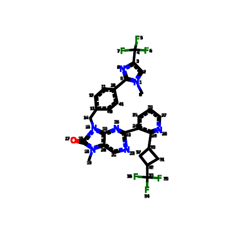 Cn1cc(C(F)(F)F)nc1-c1ccc(Cn2c(=O)n(C)c3cnc(-c4cccnc4C4CC(C(F)(F)F)C4)nc32)cc1